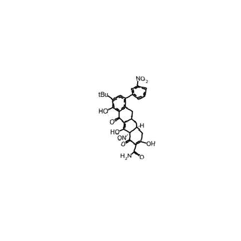 CC(C)(C)c1cc(-c2cccc([N+](=O)[O-])c2)c2c(c1O)C(=O)C1=C(O)[C@]3(N=O)C(=O)C(C(N)=O)=C(O)C[C@@H]3CC1C2